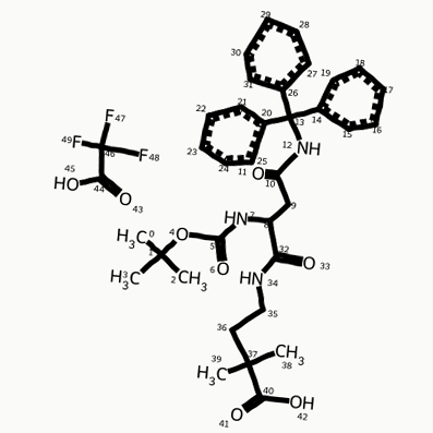 CC(C)(C)OC(=O)NC(CC(=O)NC(c1ccccc1)(c1ccccc1)c1ccccc1)C(=O)NCCC(C)(C)C(=O)O.O=C(O)C(F)(F)F